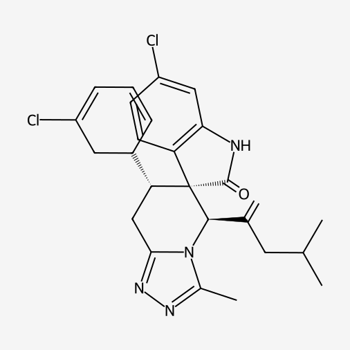 C=C(CC(C)C)[C@H]1n2c(C)nnc2C[C@H](C2C=CC=C(Cl)C2)[C@]12C(=O)Nc1cc(Cl)ccc12